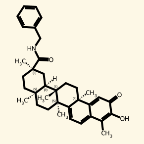 CC1=C(O)C(=O)C=C2C1=CC=C1[C@@]2(C)CC[C@@]2(C)[C@@H]3C[C@](C)(C(=O)NCc4ccccc4)CC[C@]3(C)CC[C@]12C